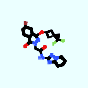 O=C(Cn1nc(O[C@H]2C[C@@]3(CC3(F)F)C2)c2cc(Br)ccc2c1=O)Nc1nc2ccccn2n1